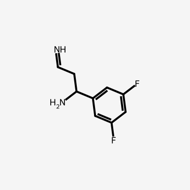 N=CCC(N)c1cc(F)cc(F)c1